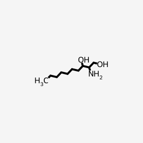 CCCCCCCC(O)C(N)CO